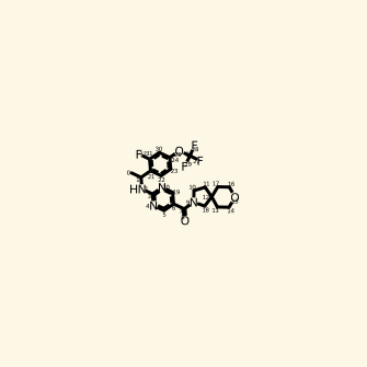 CC(Nc1ncc(C(=O)N2CCC3(CCOCC3)C2)cn1)c1ccc(OC(F)(F)F)cc1F